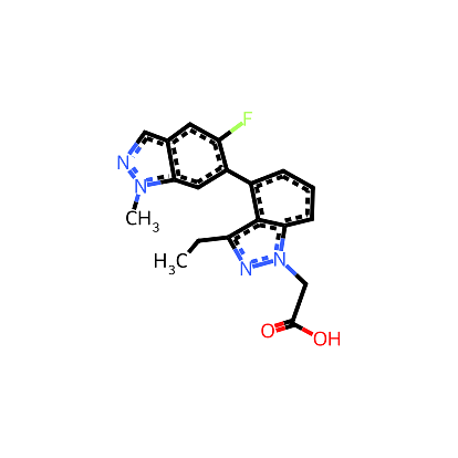 CCc1nn(CC(=O)O)c2cccc(-c3cc4c(cnn4C)cc3F)c12